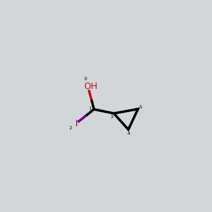 OC(I)C1CC1